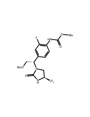 COC[C@H](c1ccc(NC(=O)OC(C)(C)C)c(F)c1)N1C[C@@H](C(F)(F)F)NC1=O